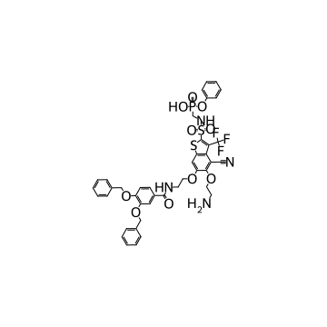 N#Cc1c(OCCN)c(OCCNC(=O)c2ccc(OCc3ccccc3)c(OCc3ccccc3)c2)cc2sc(S(=O)(=O)NCP(=O)(O)Oc3ccccc3)c(C(F)(F)F)c12